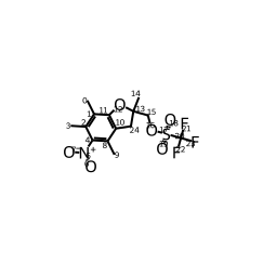 Cc1c(C)c([N+](=O)[O-])c(C)c2c1OC(C)(COS(=O)(=O)C(F)(F)F)C2